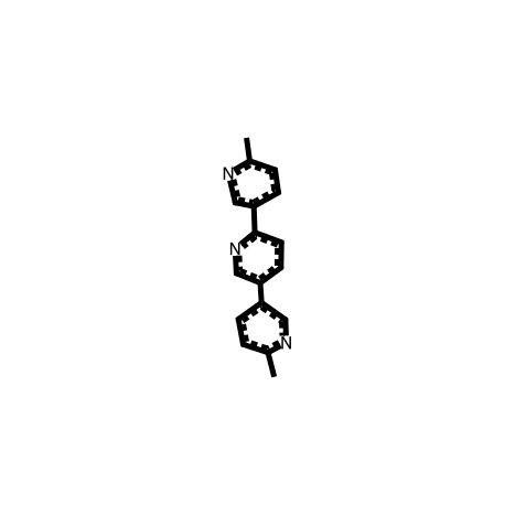 Cc1ccc(-c2ccc(-c3ccc(C)nc3)nc2)cn1